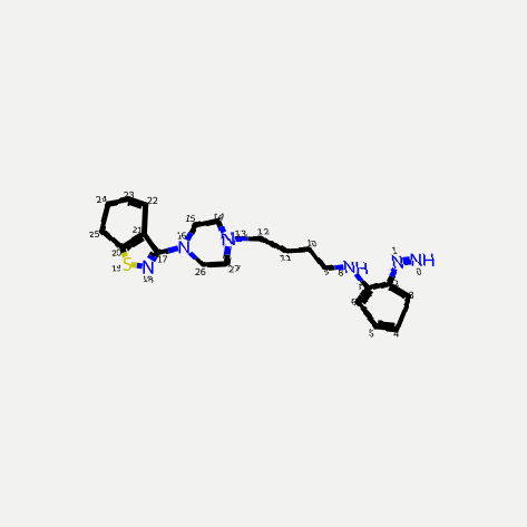 N=Nc1ccccc1NCCCCN1CCN(c2nsc3c2C=CCC3)CC1